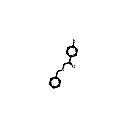 O=C(CSCc1ccccc1)c1ccc(Br)cc1